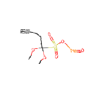 C#CCC(OC)(OC)S(=O)(=O)OP=O